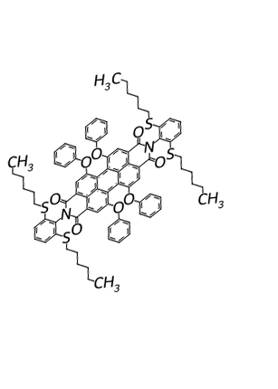 CCCCCCSc1cccc(SCCCCCC)c1N1C(=O)c2cc(Oc3ccccc3)c3c4c(Oc5ccccc5)cc5c6c(cc(Oc7ccccc7)c(c7c(Oc8ccccc8)cc(c2c37)C1=O)c64)C(=O)N(c1c(SCCCCCC)cccc1SCCCCCC)C5=O